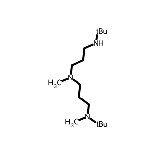 CN(CCCNC(C)(C)C)CCCN(C)C(C)(C)C